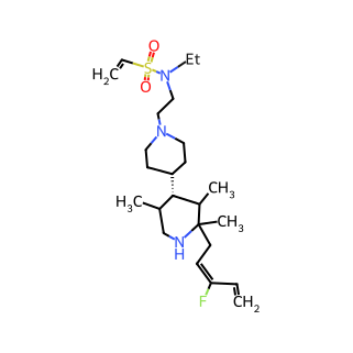 C=C/C(F)=C\CC1(C)NCC(C)[C@H](C2CCN(CCN(CC)S(=O)(=O)C=C)CC2)C1C